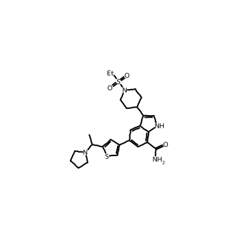 CCS(=O)(=O)N1CCC(c2c[nH]c3c(C(N)=O)cc(-c4csc(C(C)N5CCCC5)c4)cc23)CC1